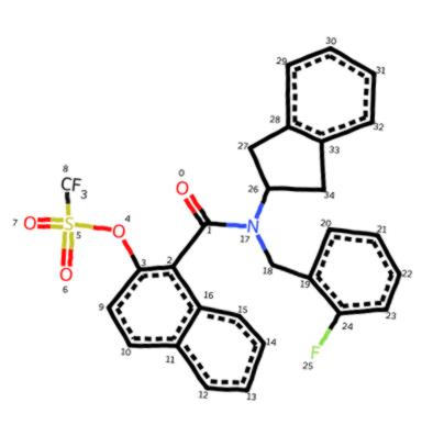 O=C(c1c(OS(=O)(=O)C(F)(F)F)ccc2ccccc12)N(Cc1ccccc1F)C1Cc2ccccc2C1